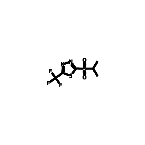 CC(C)S(=O)(=O)c1nnc(C(F)(F)F)s1